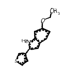 CCOc1ccc2cc(-c3ccsc3)[nH]c2c1